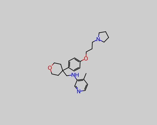 Cc1ccncc1NCC1(c2ccc(OCCCN3CCCC3)cc2)CCOCC1